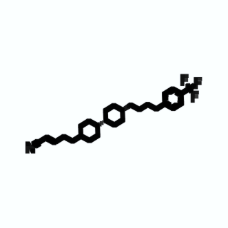 N#C/C=C/CCC1CCC([C@H]2CC[C@H](CCCCc3ccc(C(F)(F)F)cc3)CC2)CC1